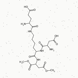 COC(=O)CC(NC(=O)C(CCCCNC(=O)C(N)CCC(=O)O)NC(=O)C(N)CC(=O)O)C(=O)OC